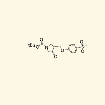 CC(C)(C)OC(=O)N1CC(=O)C(COc2ccc(S(C)(=O)=O)cc2)C1